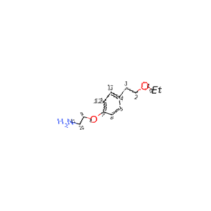 CCOCCc1ccc(OCCN)cc1